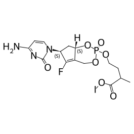 CC(CCOP1(=O)OCC2=C(F)[C@@H](n3ccc(N)nc3=O)C[C@@H]2O1)C(=O)OI